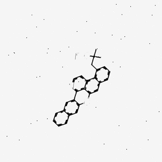 CC(C)(Cc1cccc2cc3c4c(nccc4c12)-c1cc2ccccc2cc1O3)C(F)(F)F